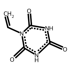 C=Cn1c(=O)[nH]c(=O)[nH]c1=O